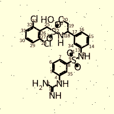 N=C(N)Nc1cccc(S(=O)(=O)Nc2cccc(C(CC(=O)O)NS(=O)(=O)Cc3c(Cl)cccc3Cl)c2)c1